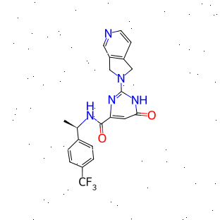 C[C@@H](NC(=O)c1cc(=O)[nH]c(N2Cc3ccncc3C2)n1)c1ccc(C(F)(F)F)cc1